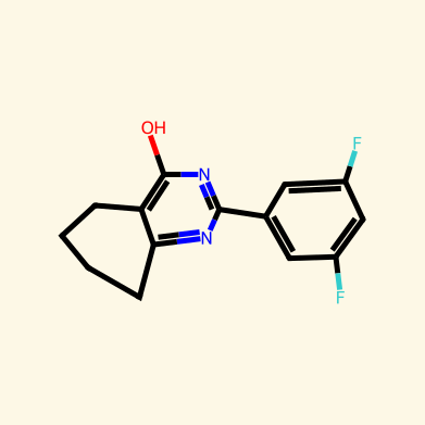 Oc1nc(-c2cc(F)cc(F)c2)nc2c1CCCC2